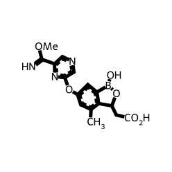 COC(=N)c1cncc(Oc2cc(C)c3c(c2)B(O)OC3CC(=O)O)n1